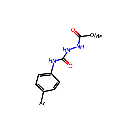 COC(=O)NNC(=O)Nc1ccc(C(C)=O)cc1